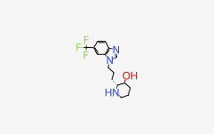 O[C@H]1CCCN[C@@H]1CCCn1cnc2ccc(C(F)(F)F)cc21